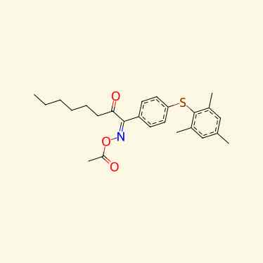 CCCCCCC(=O)C(=NOC(C)=O)c1ccc(Sc2c(C)cc(C)cc2C)cc1